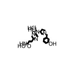 Cl.Cl.O=C(C=Cc1cnc(N[C@@H]2CCN(Cc3cccc(O)c3)C2)cn1)NO